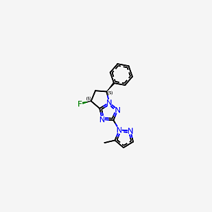 Cc1ccnn1-c1nc2n(n1)[C@H](c1ccccc1)C[C@@H]2F